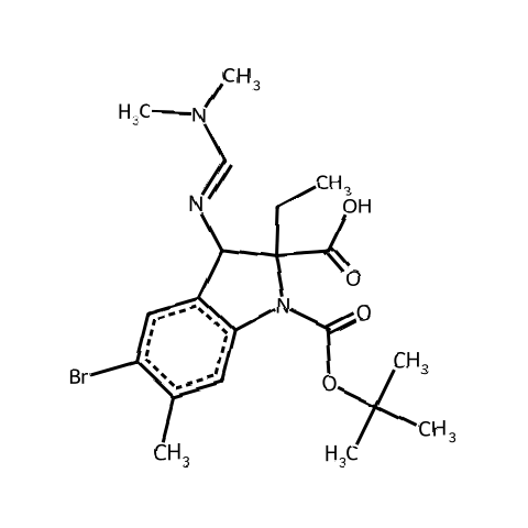 CCC1(C(=O)O)C(N=CN(C)C)c2cc(Br)c(C)cc2N1C(=O)OC(C)(C)C